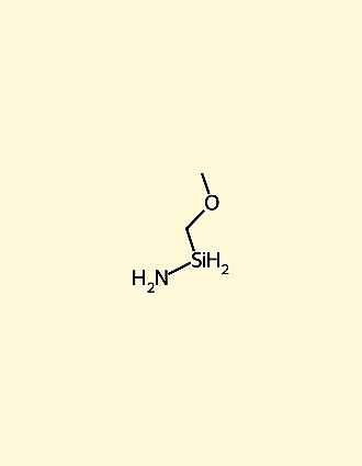 COC[SiH2]N